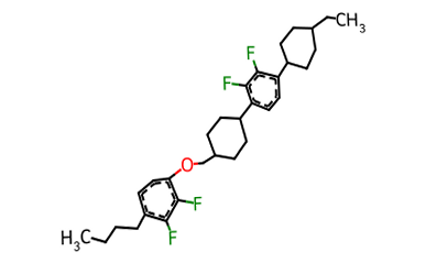 CCCCc1ccc(OCC2CCC(c3ccc(C4CCC(CC)CC4)c(F)c3F)CC2)c(F)c1F